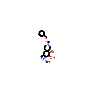 CC(C)n1ncc2c1C(O)C(Br)C1(CCN(C(=O)OCc3ccccc3)CC1)C2